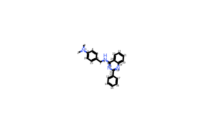 CN(C)c1ccc(CNc2nc(-c3ccccc3)nc3ccccc23)cc1